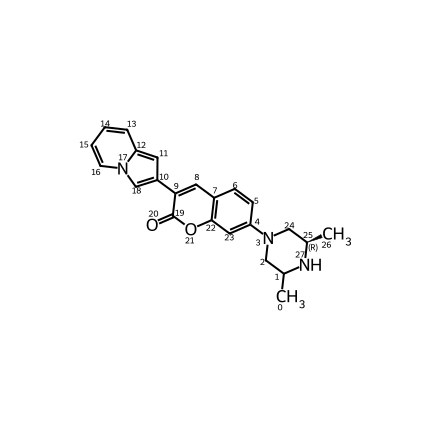 CC1CN(c2ccc3cc(-c4cc5ccccn5c4)c(=O)oc3c2)C[C@@H](C)N1